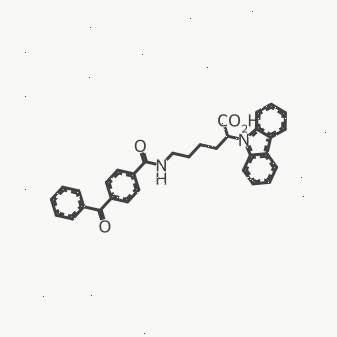 O=C(NCCCCC(C(=O)O)n1c2ccccc2c2ccccc21)c1ccc(C(=O)c2ccccc2)cc1